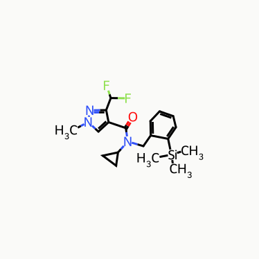 Cn1cc(C(=O)N(Cc2ccccc2[Si](C)(C)C)C2CC2)c(C(F)F)n1